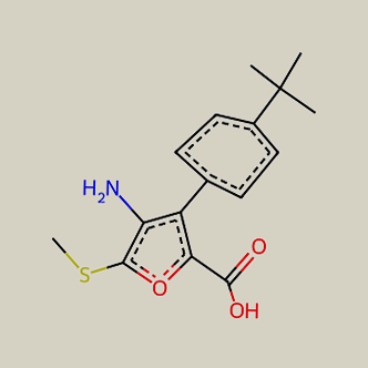 CSc1oc(C(=O)O)c(-c2ccc(C(C)(C)C)cc2)c1N